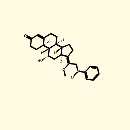 COC(C[S+]([O-])c1ccccc1)=C1CC[C@H]2[C@@H]3CCC4=CC(=O)CC[C@]4(C)[C@H]3[C@@H](O)C[C@]12C